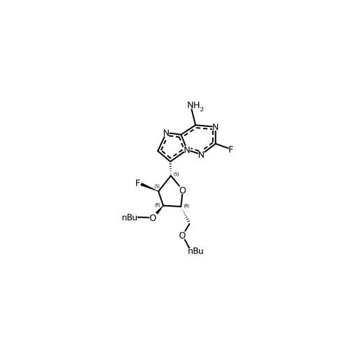 CCCCOC[C@H]1O[C@@H](c2cnc3c(N)nc(F)nn23)[C@H](F)[C@@H]1OCCCC